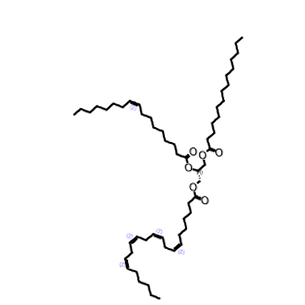 CCCCC/C=C\C/C=C\C/C=C\C/C=C\CCCCCC(=O)OC[C@@H](COC(=O)CCCCCCCCCCCCCC)OC(=O)CCCCCCC/C=C\CCCCCCC